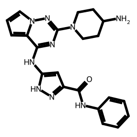 NC1CCN(c2nc(Nc3cc(C(=O)Nc4ccccc4)n[nH]3)c3cccn3n2)CC1